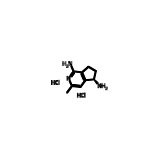 Cc1cc2c(c(N)n1)CC[C@H]2N.Cl.Cl